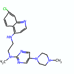 CN1CCN(c2cnc(N(C)CCNc3ccnc4cc(Cl)ccc34)nc2)CC1